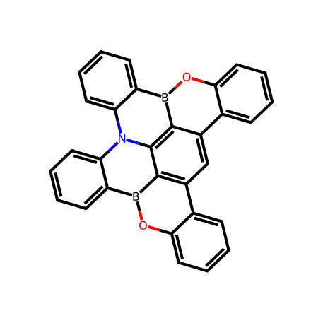 c1ccc2c(c1)OB1c3ccccc3N3c4ccccc4B4Oc5ccccc5-c5cc-2c1c3c54